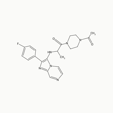 CC(=O)N1CCN(C(=O)C(C)Nc2c(-c3ccc(F)cc3)nc3cnccn23)CC1